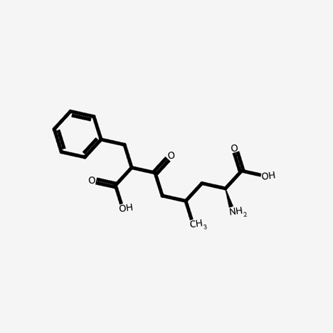 CC(CC(=O)C(Cc1ccccc1)C(=O)O)C[C@H](N)C(=O)O